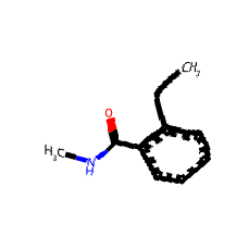 CCc1ccccc1C(=O)NC